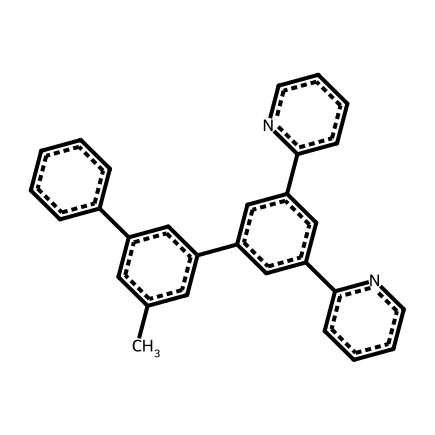 Cc1cc(-c2ccccc2)cc(-c2cc(-c3ccccn3)cc(-c3ccccn3)c2)c1